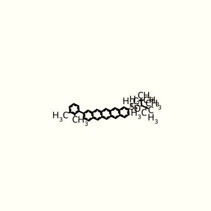 Cc1cccc(-c2ccc3cc4cc5cc6ccc([SiH2]OC(C(C)(C)C)C(C)(C)C)cc6cc5cc4cc3c2)c1C